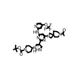 CC(=O)N1CCC2(CC1)CN(c1cc(Nc3cc(OC(F)(F)F)ccn3)nc(/C(C=N)=C/NC3CCN(C(=O)OC(C)(C)C)CC3)n1)C2